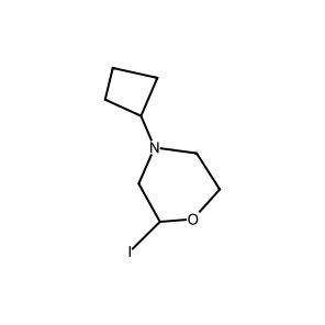 IC1CN(C2CCC2)CCO1